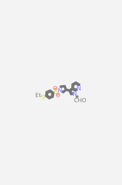 CCSc1ccc(S(=O)(=O)N2CCC(c3cn(CC=O)c4ncccc34)C2)cc1